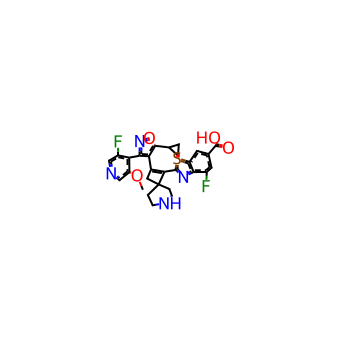 COc1cncc(F)c1-c1noc(C2CC2)c1C1=C(c2nc3c(F)cc(C(=O)O)cc3s2)C2(CCNCC2)C1